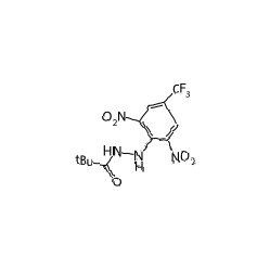 CC(C)(C)C(=O)NNc1c([N+](=O)[O-])cc(C(F)(F)F)cc1[N+](=O)[O-]